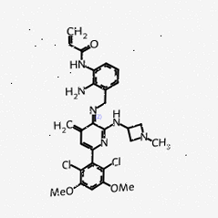 C=CC(=O)Nc1cccc(C/N=C2/C(=C)C=C(c3c(Cl)c(OC)cc(OC)c3Cl)N=C2NC2CN(C)C2)c1N